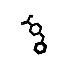 CC(C)(C)C(=O)N1CCN(Cc2cc[c]cc2)CC1